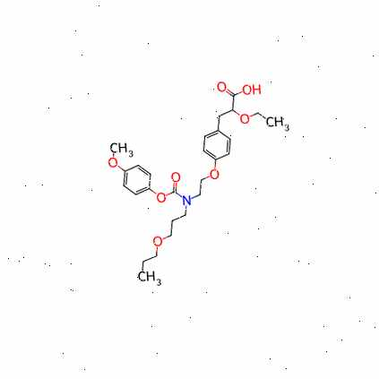 CCCOCCCN(CCOc1ccc(CC(OCC)C(=O)O)cc1)C(=O)Oc1ccc(OC)cc1